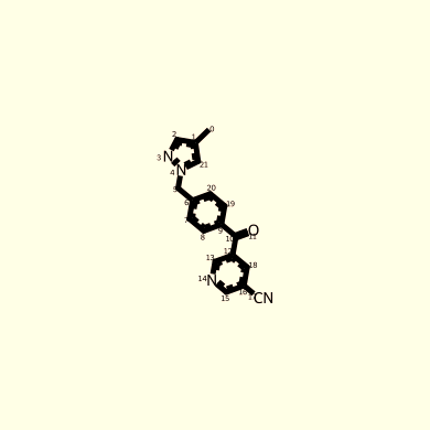 Cc1cnn(Cc2ccc(C(=O)c3cncc(C#N)c3)cc2)c1